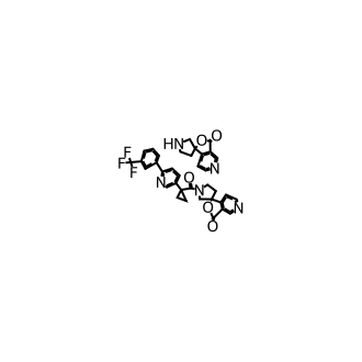 O=C1OC2(CCN(C(=O)C3(c4ccc(-c5cccc(C(F)(F)F)c5)nc4)CC3)C2)c2ccncc21.O=C1OC2(CCNC2)c2ccncc21